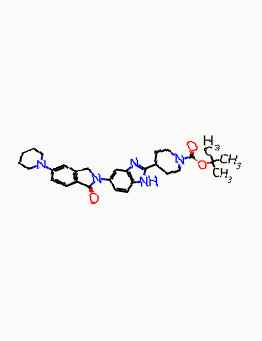 CC(C)(C)OC(=O)N1CCC(c2nc3cc(N4Cc5cc(N6CCCCC6)ccc5C4=O)ccc3[nH]2)CC1